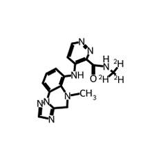 [2H]C([2H])([2H])NC(=O)c1nnccc1Nc1cccc2c1N(C)Cc1ncnn1-2